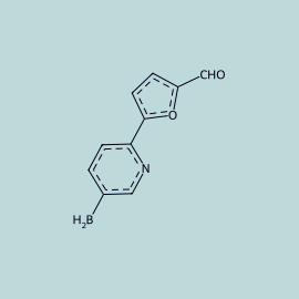 Bc1ccc(-c2ccc(C=O)o2)nc1